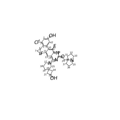 Oc1cc(Cl)c(C2CC2)c(-c2c(F)cc3c(N4CCCC5(CC(O)C5)C4)nc(OCC45CCCN4CCC5)nc3c2F)c1